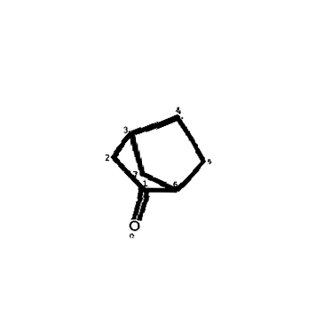 O=C1CC2[CH]CC1C2